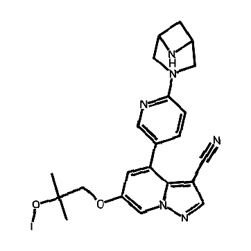 CC(C)(COc1cc(-c2ccc(N3CC4CC(C3)N4)nc2)c2c(C#N)cnn2c1)OI